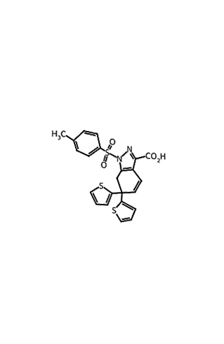 Cc1ccc(S(=O)(=O)n2nc(C(=O)O)c3c2CC(c2cccs2)(c2cccs2)C=C3)cc1